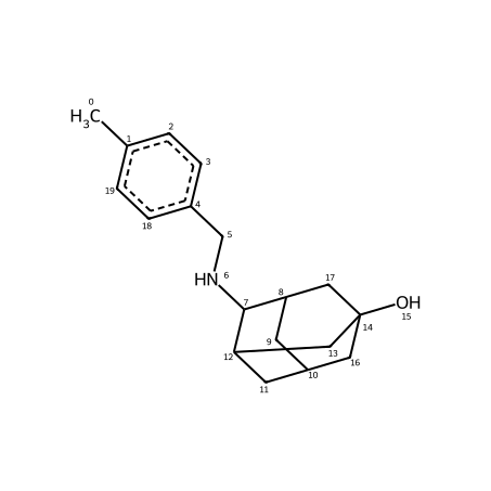 Cc1ccc(CNC2C3CC4CC2CC(O)(C4)C3)cc1